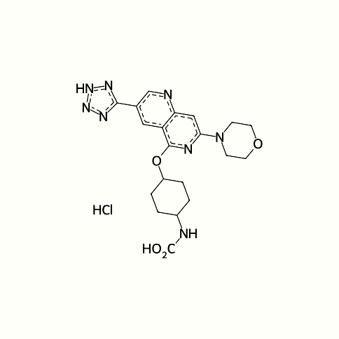 Cl.O=C(O)NC1CCC(Oc2nc(N3CCOCC3)cc3ncc(-c4nn[nH]n4)cc23)CC1